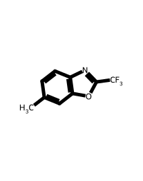 Cc1ccc2nc(C(F)(F)F)oc2c1